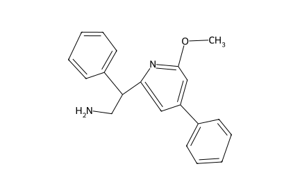 COc1cc(-c2ccccc2)cc(C(CN)c2ccccc2)n1